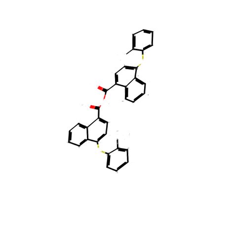 O=C(O)c1ccccc1Sc1ccc(C(=O)OC(=O)c2ccc(Sc3ccccc3C(=O)O)c3ccccc23)c2ccccc12